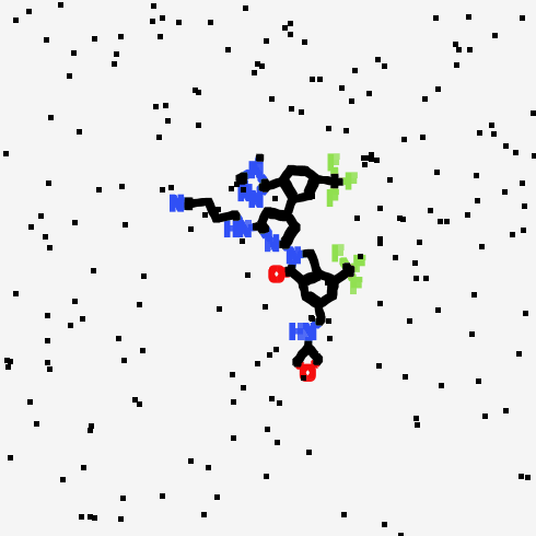 Cn1cnnc1-c1ccc(C(F)(F)F)cc1-c1cc(NCCCC#N)nc(N2Cc3c(cc(CNC4COC4)cc3C(F)(F)F)C2=O)c1